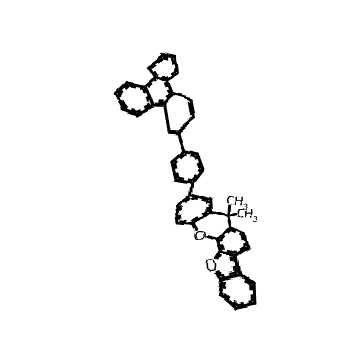 CC1(C)c2cc(-c3ccc(C4C=Cc5c(c6ccccc6c6ccccc56)C4)cc3)ccc2Oc2c1ccc1c2oc2ccccc21